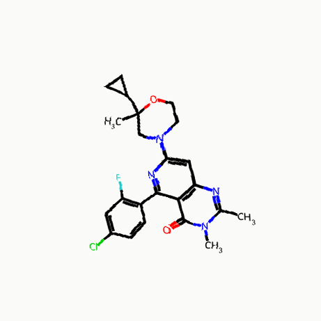 Cc1nc2cc(N3CCOC(C)(C4CC4)C3)nc(-c3ccc(Cl)cc3F)c2c(=O)n1C